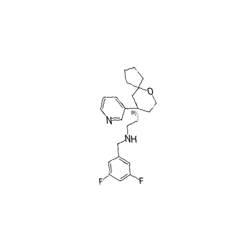 Fc1cc(F)cc(CNCC[C@@]2(c3cccnc3)CCOC3(CCCC3)C2)c1